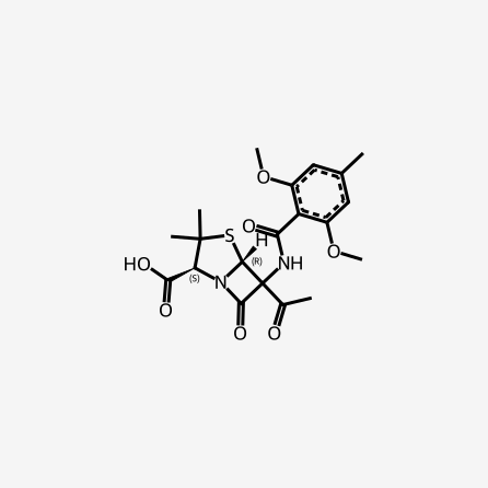 COc1cc(C)cc(OC)c1C(=O)NC1(C(C)=O)C(=O)N2[C@@H](C(=O)O)C(C)(C)S[C@@H]21